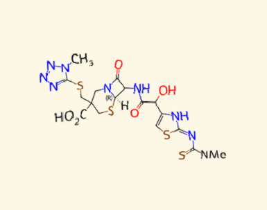 CNC(=S)N=c1[nH]c(C(O)C(=O)NC2C(=O)N3CC(CSc4nnnn4C)(C(=O)O)CS[C@H]23)cs1